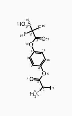 CC(I)C(=O)Oc1ccc(OC(=O)C(F)(F)S(=O)(=O)O)cc1